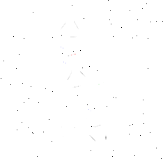 CC1(C)Oc2ccccc2C(NCCc2ccc(NC(=O)Nc3ccccc3)cc2)C1O.Cl